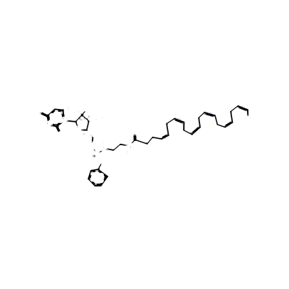 CC/C=C\C/C=C\C/C=C\C/C=C\C/C=C\C/C=C\CCC(=O)NCCNP(=O)(OC[C@H]1OC(n2ccc(=O)[nH]c2=O)[C@](C)(F)[C@@H]1O)Oc1ccccc1